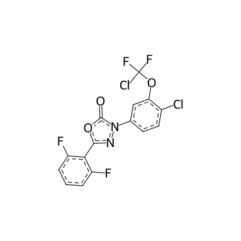 O=c1oc(-c2c(F)cccc2F)nn1-c1ccc(Cl)c(OC(F)(F)Cl)c1